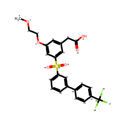 COCCOc1cc(CC(=O)O)cc(S(=O)(=O)c2cccc(-c3ccc(C(F)(F)F)cc3)c2)c1